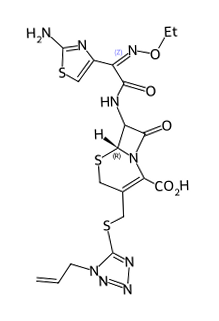 C=CCn1nnnc1SCC1=C(C(=O)O)N2C(=O)C(NC(=O)/C(=N\OCC)c3csc(N)n3)[C@H]2SC1